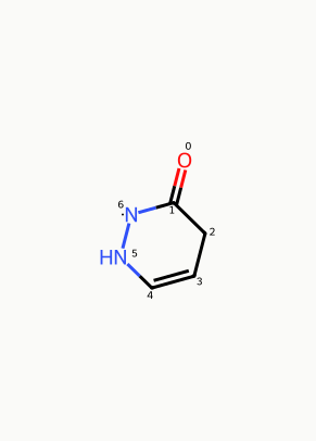 O=C1CC=CN[N]1